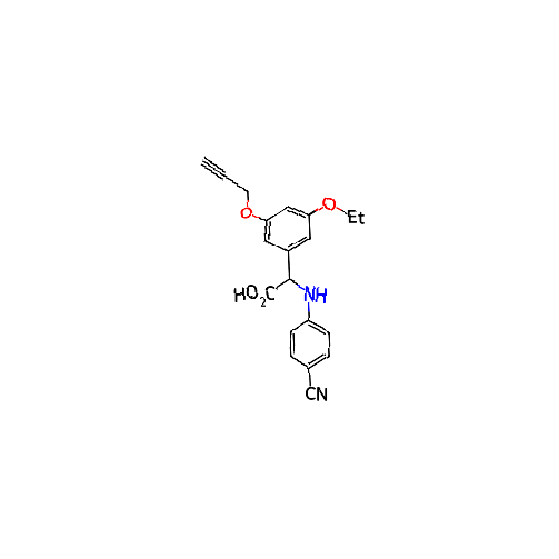 C#CCOc1cc(OCC)cc(C(Nc2ccc(C#N)cc2)C(=O)O)c1